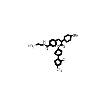 CC(C)(C)C1CCC(C(Cc2ccc(C(=O)NCCS(=O)(=O)O)cc2)C(=O)Nc2ccc(-c3ccc(C(F)(F)F)cc3Cl)cc2)CC1